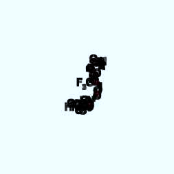 Cn1cnnc1CC1(c2cccc(-n3cc4c(C(F)(F)F)cc(CN5CCC(OCCNc6cccc7c6C(=O)N(C6CCC(=O)NC6=O)C7=O)CC5)cn4c3=O)c2)COC1